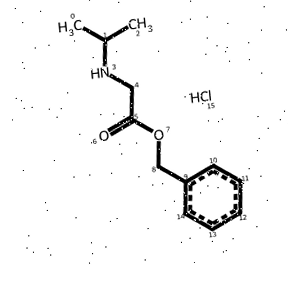 CC(C)NCC(=O)OCc1ccccc1.Cl